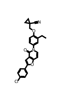 CCc1cc(-n2ccc3oc(-c4ccc(Cl)cc4)cc3c2=O)ccc1OCC1(C#N)CC1